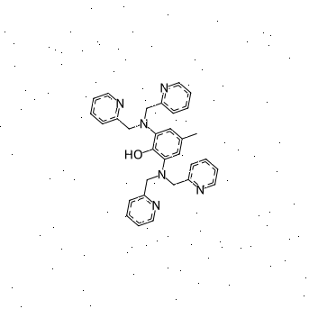 Cc1cc(N(Cc2ccccn2)Cc2ccccn2)c(O)c(N(Cc2ccccn2)Cc2ccccn2)c1